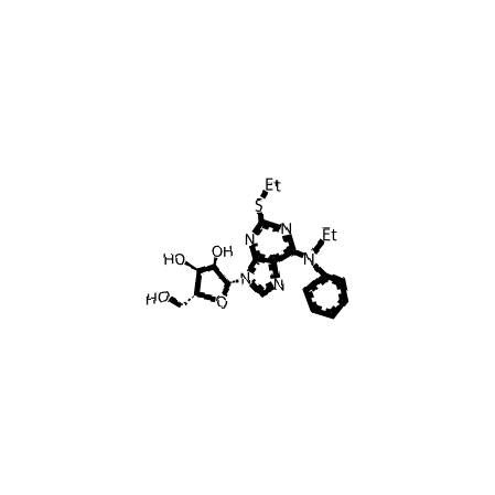 CCSc1nc(N(CC)c2ccccc2)c2ncn([C@@H]3O[C@H](CO)[C@@H](O)[C@H]3O)c2n1